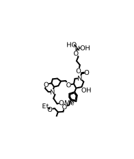 CCOCC(C)COCc1ccc(C2C(O)CN(C(=O)OCCCON(O)O)CC2OCC2CCC3OCCN(CCCOC)C3C2)cc1